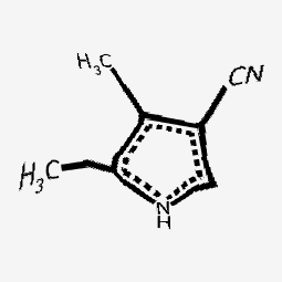 Cc1[nH]cc(C#N)c1C